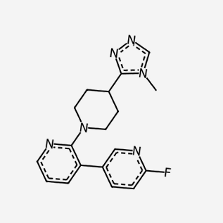 Cn1cnnc1C1CCN(c2ncccc2-c2ccc(F)nc2)CC1